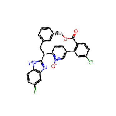 CC(C)(C)OC(=O)c1ccc(Cl)cc1-c1ccc(C(Cc2ccccc2)c2nc3cc(F)ccc3[nH]2)[n+]([O-])c1